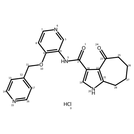 Cl.O=C(Nc1cnccc1OCc1ccncc1)c1c[nH]c2c1C(=O)CCCC2